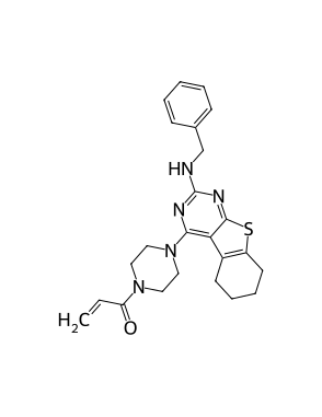 C=CC(=O)N1CCN(c2nc(NCc3ccccc3)nc3sc4c(c23)CCCC4)CC1